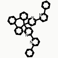 c1ccc(-c2cccc(-c3ccc(C4(c5ccc(-c6cccc(-c7ccccc7)n6)nc5)c5ccccc5-c5ccccc5-c5ccccc54)cn3)n2)cc1